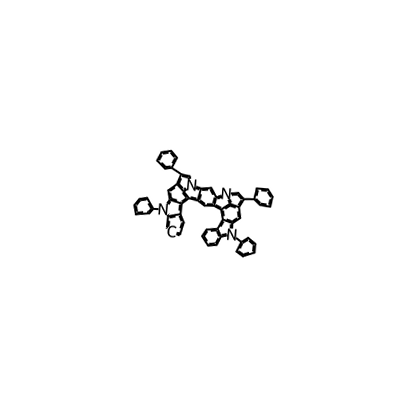 c1ccc(-c2cn3c4cc5c(cc4c4c6c7ccccc7n(-c7ccccc7)c6cc2c43)c2c3c4ccccc4n(-c4ccccc4)c3cc3c(-c4ccccc4)cn5c32)cc1